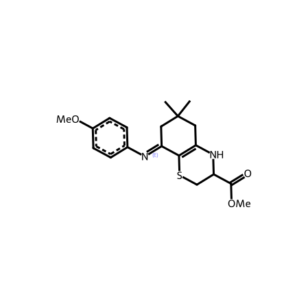 COC(=O)C1CSC2=C(CC(C)(C)C/C2=N\c2ccc(OC)cc2)N1